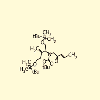 C=C(CCO[Si](C)(C)C(C)(C)C)[C@@H](CO[Si](C)(C)C(C)(C)C)N(CC(=O)/C=C/C)C(=O)OC(C)(C)C